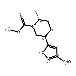 C[C@@H]1CC[C@@H](c2cc(C=O)no2)CN1C(=O)OC(C)(C)C